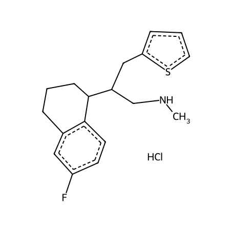 CNCC(Cc1cccs1)C1CCCc2cc(F)ccc21.Cl